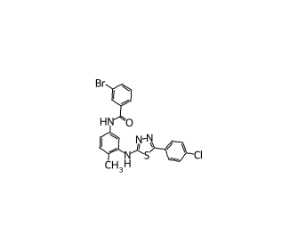 Cc1ccc(NC(=O)c2cccc(Br)c2)cc1Nc1nnc(-c2ccc(Cl)cc2)s1